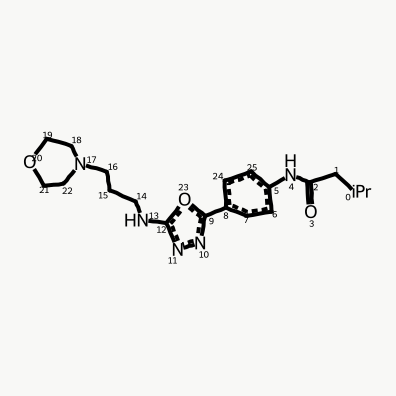 CC(C)CC(=O)Nc1ccc(-c2nnc(NCCCN3CCOCC3)o2)cc1